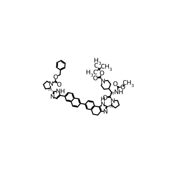 COC(=O)N[C@H](C(=O)N1CCC[C@H]1c1nc2c([nH]1)-c1ccc(-c3ccc4cc(-c5cnc([C@@H]6CCCN6C(=O)OCc6ccccc6)[nH]5)ccc4c3)cc1CC2)C1CCN(C(=O)OC(C)(C)C)CC1